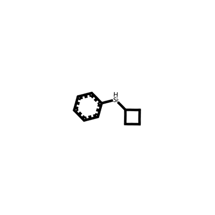 c1ccc([SiH]C2CCC2)cc1